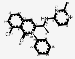 Cc1nccc(N[C@@H](C)c2cc3cccc(Cl)c3c(=O)n2-c2ccccc2)n1